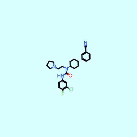 N#Cc1cccc([C@H]2CC[C@H](N(CCN3CCCC3)C(=O)Nc3ccc(F)c(Cl)c3)CC2)c1